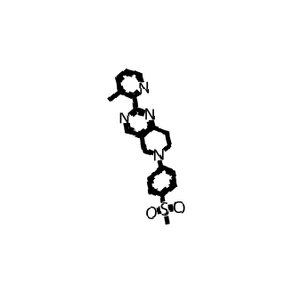 Cc1cccnc1-c1ncc2c(n1)CCN(c1ccc(S(C)(=O)=O)cc1)C2